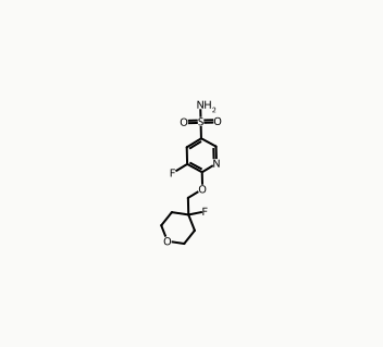 NS(=O)(=O)c1cnc(OCC2(F)CCOCC2)c(F)c1